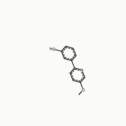 COc1c[c]c(-c2cccc(O)c2)nc1